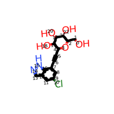 OCC1OC(C#Cc2cc(Cl)cc3cn[nH]c23)C(O)C(O)[C@@H]1O